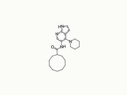 O=C(Nc1cnc2[nH]ccc2c1N1CCCCC1)C1CCCCCCCCC1